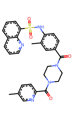 Cc1ccc(C(=O)N2CCN(C(=O)c3ccc(NS(=O)(=O)c4cccc5cccnc45)c(C)c3)CC2)nc1